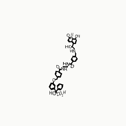 O=C(NCCNC(=O)c1ccc(COc2cccc(C(O)(C(=O)O)c3ccccc3)c2)cc1)c1ccc(CNCC(O)c2ccc(O)c3[nH]c(=O)ccc23)cc1